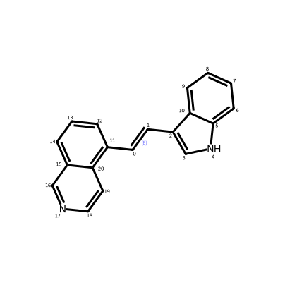 C(=C\c1c[nH]c2ccccc12)/c1cccc2cnccc12